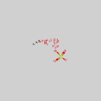 O.O.O.O.O.O.O=S(=O)([O-])[O-].[Ni+2].[Ni]